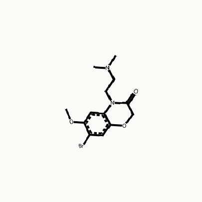 COc1cc2c(cc1Br)OCC(=O)N2CCN(C)C